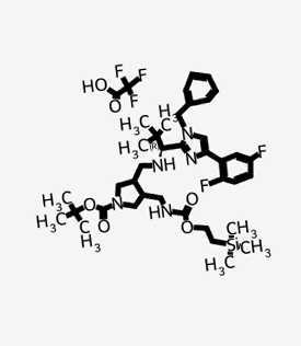 CC(C)(C)OC(=O)N1CC(CNC(=O)OCC[Si](C)(C)C)C(CN[C@@H](c2nc(-c3cc(F)ccc3F)cn2Cc2ccccc2)C(C)(C)C)C1.O=C(O)C(F)(F)F